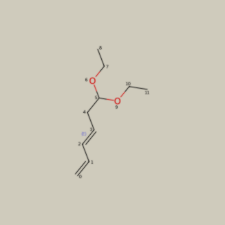 C=C/C=C/CC(OCC)OCC